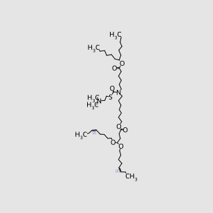 CC/C=C\CCCCOC(CCC(=O)OCCCCCCCN(CCCCCC(=O)OC(CCCCCC)CCCCCC)C(=O)SCCN(C)C)OCCCC/C=C\CC